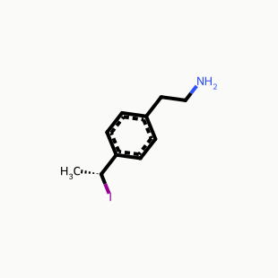 C[C@@H](I)c1ccc(CCN)cc1